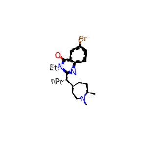 CCC[C@H](c1nc2ccc(Br)cc2c(=O)n1CC)[C@H]1CC[C@@H](C)N(C)CC1